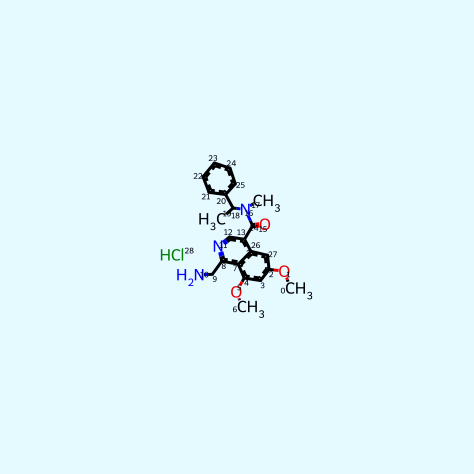 COc1cc(OC)c2c(CN)ncc(C(=O)N(C)C(C)c3ccccc3)c2c1.Cl